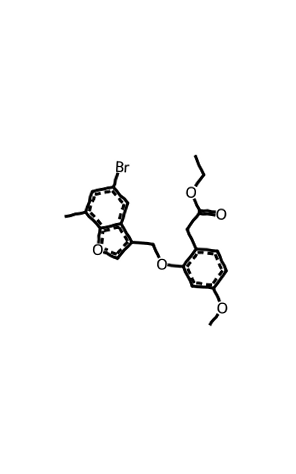 CCOC(=O)Cc1ccc(OC)cc1OCc1coc2c(C)cc(Br)cc12